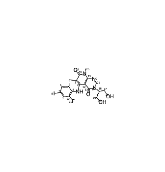 Cc1c(Nc2ccc(I)cc2F)c2c(=O)n(C(CO)CO)cnc2n(C)c1=O